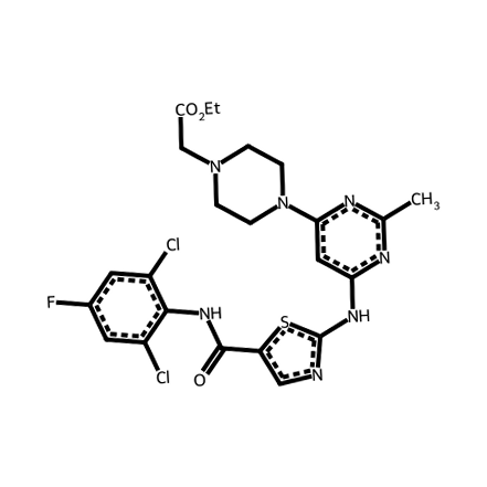 CCOC(=O)CN1CCN(c2cc(Nc3ncc(C(=O)Nc4c(Cl)cc(F)cc4Cl)s3)nc(C)n2)CC1